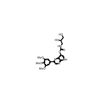 COc1cc(-c2cnc3[nH]cc(OC(=O)NCC(O)CO)c3n2)cc(OC)c1OC